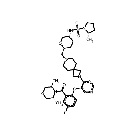 C[C@@H]1COC[C@@H](C)N1C(=O)c1cc(F)ccc1Oc1cncnc1N1CC2(CCN(C[C@@H]3CC[C@@H](NS(=O)(=O)N4CCC[C@@H]4C)CO3)CC2)C1